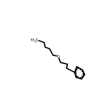 [CH2]CCCCOCCCc1ccccc1